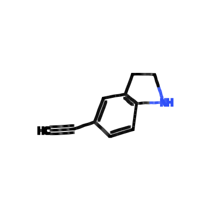 C#Cc1ccc2c(c1)CCN2